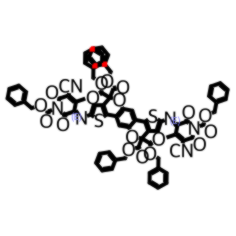 CC1=C(C#N)C(=O)N(C(=O)OCc2ccccc2)C(=O)/C1=N/c1cc2c(s1)-c1cc3c(cc1OC2(C(=O)OCc1ccccc1)C(=O)OCc1ccccc1)-c1sc(/N=C2/C(=O)N(C(=O)OCc4ccccc4)C(=O)C(C#N)=C2C)cc1C(C(=O)OCc1ccccc1)(C(=O)OCc1ccccc1)O3